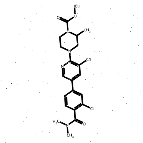 CC1CN(c2ncc(-c3ccc(C(=O)N(C)C)c(Cl)c3)cc2C#N)CCN1C(=O)OC(C)(C)C